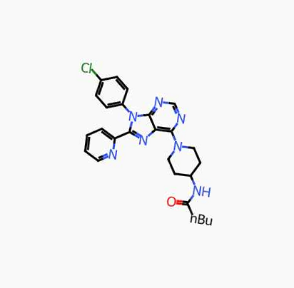 CCCCC(=O)NC1CCN(c2ncnc3c2nc(-c2ccccn2)n3-c2ccc(Cl)cc2)CC1